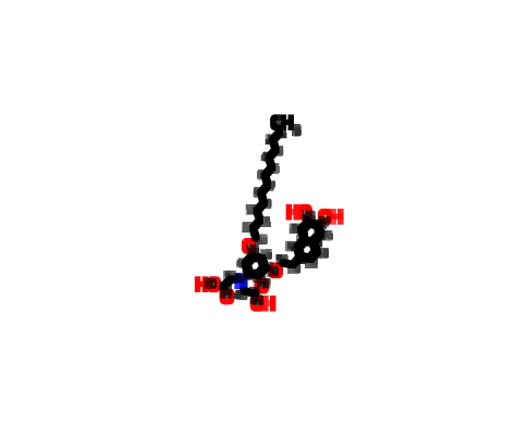 CCCCCCCCCCCCCCOc1cc(OCCc2ccc3cc(O)c(O)cc3c2)cc(N(CC(=O)O)CC(=O)O)c1